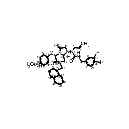 C=CCN(C(=O)NCc1ccc(I)c(I)c1)N1CC(=O)N2[C@@H](Cc3ccc(NC)cc3)C(=O)N(Cc3cccc4ccccc34)C[C@@H]21